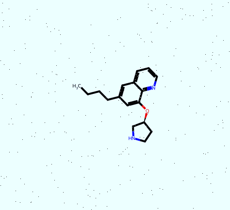 CCCCc1cc(O[C@H]2CCNC2)c2ncccc2c1